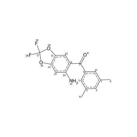 Cc1cc(C)cc(C(=O)c2cc3c(cc2N)OC(F)(F)O3)c1